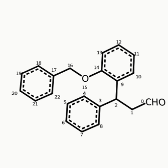 O=CCC(c1ccccc1)c1ccccc1OCc1ccccc1